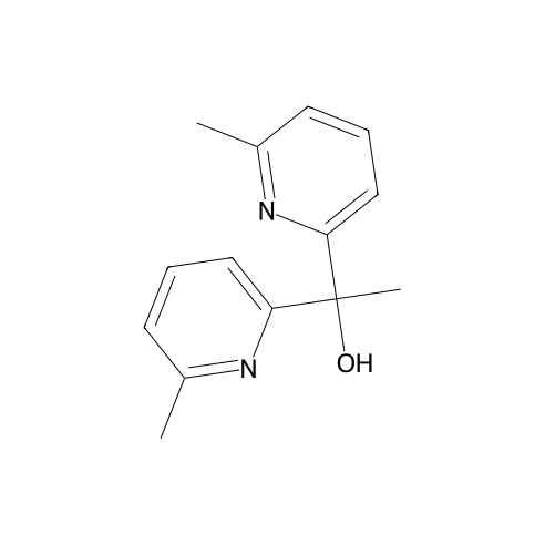 Cc1cccc(C(C)(O)c2cccc(C)n2)n1